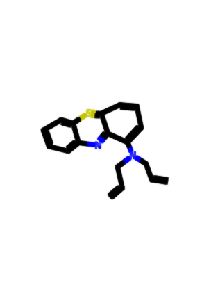 C=CCN(CC=C)c1cccc2[s+]c3ccccc3nc12